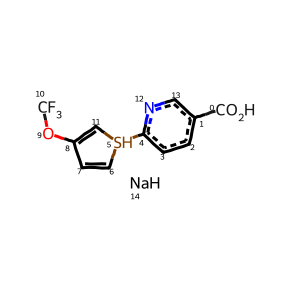 O=C(O)c1ccc([SH]2C=CC(OC(F)(F)F)=C2)nc1.[NaH]